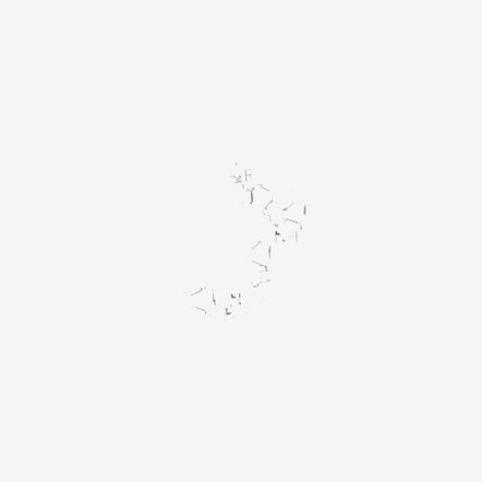 Cc1cccc(C(=O)Nc2cccc(OC3CCN(C(=O)c4ccccc4)CC3)c2)c1-c1ccc(OC(F)(F)F)cc1